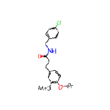 COc1cc(CCC(=O)NCc2ccc(Cl)cc2)ccc1OC(C)C